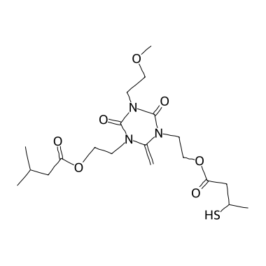 C=C1N(CCOC(=O)CC(C)C)C(=O)N(CCOC)C(=O)N1CCOC(=O)CC(C)S